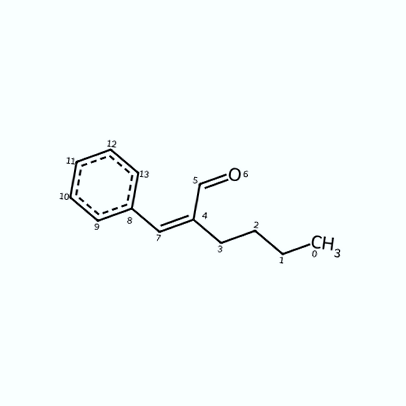 CCCC/C(C=O)=C/c1ccccc1